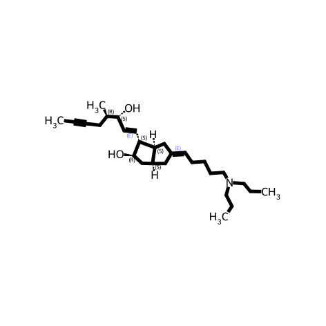 CC#CC[C@@H](C)[C@H](O)/C=C/[C@@H]1[C@H]2C/C(=C/CCCCN(CCC)CCC)C[C@H]2C[C@H]1O